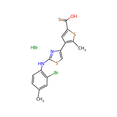 Br.Cc1ccc(Nc2nc(-c3cc(C(O)=S)sc3C)cs2)c(Br)c1